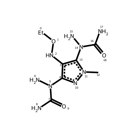 CCONc1c(N(N)C(N)=O)nn(C)c1N(N)C(N)=O